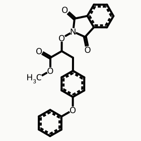 COC(=O)C(Cc1ccc(Oc2ccccc2)cc1)ON1C(=O)c2ccccc2C1=O